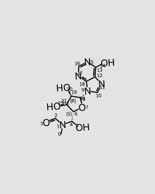 CN(C=O)C(O)[C@H]1O[C@@H](n2cnc3c(O)ncnc32)[C@H](O)[C@@H]1O